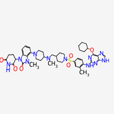 Cc1cc(S(=O)(=O)N2CCC(CN(C)C3CCN(c4cccc5c4n(C)c(=O)n5C4CCC(=O)NC4=O)CC3)CC2)ccc1Nc1nc(OC2CCCCC2)c2nc[nH]c2n1